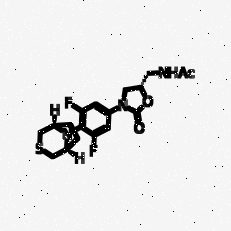 CC(=O)NC[C@H]1CN(c2cc(F)c(N3[C@@H]4CC[C@H]3CSC4)c(F)c2)C(=O)O1